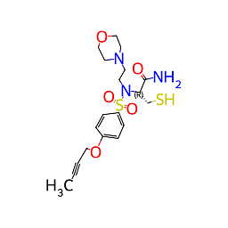 CC#CCOc1ccc(S(=O)(=O)N(CCN2CCOCC2)[C@@H](CS)C(N)=O)cc1